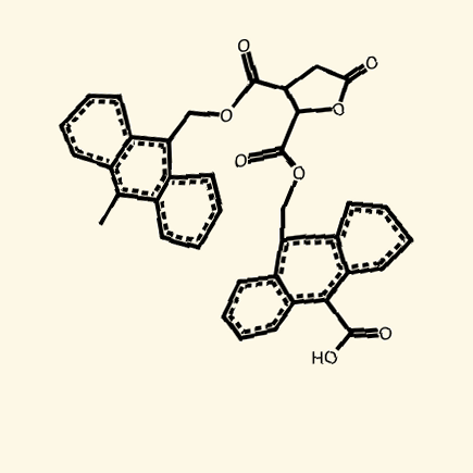 Cc1c2ccccc2c(COC(=O)C2CC(=O)OC2C(=O)OCc2c3ccccc3c(C(=O)O)c3ccccc23)c2ccccc12